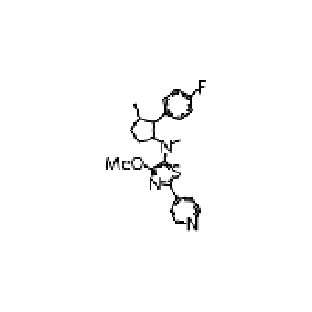 COc1nc(-c2ccncc2)sc1N(C)C1CCC(C)C1c1ccc(F)cc1